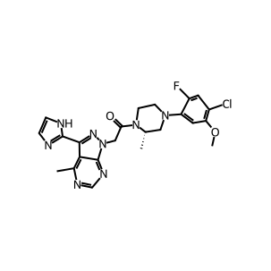 COc1cc(N2CCN(C(=O)Cn3nc(-c4ncc[nH]4)c4c(C)ncnc43)[C@@H](C)C2)c(F)cc1Cl